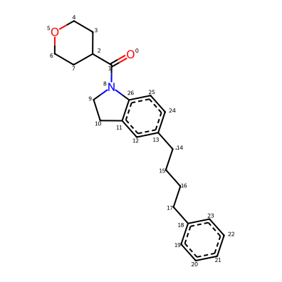 O=C(C1CCOCC1)N1CCc2cc([CH]CCCc3ccccc3)ccc21